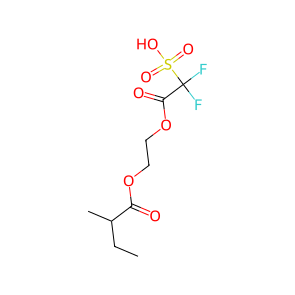 CCC(C)C(=O)OCCOC(=O)C(F)(F)S(=O)(=O)O